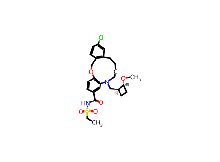 CCS(=O)(=O)NC(=O)c1ccc2c(c1)N(C[C@@H]1CC[C@H]1OC)CCCCc1cc(Cl)ccc1CO2